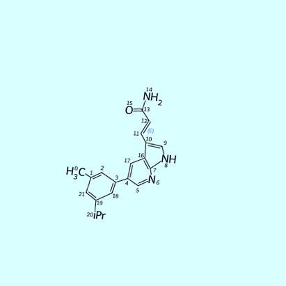 Cc1cc(-c2cnc3[nH]cc(/C=C/C(N)=O)c3c2)cc(C(C)C)c1